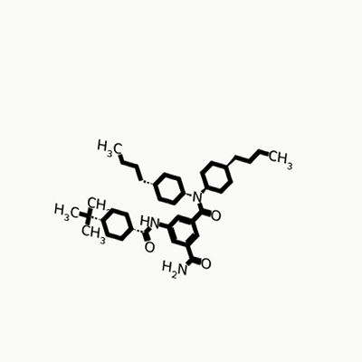 CCCC[C@H]1CC[C@@H](N(C(=O)c2cc(NC(=O)[C@H]3CC[C@@H](C(C)(C)C)CC3)cc(C(N)=O)c2)[C@H]2CC[C@@H](CCCC)CC2)CC1